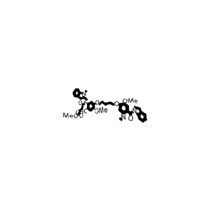 C=Nc1cc(OCCCCCOc2cc(N(CC3Cc4ccccc4N3C)C(=O)CCC(=O)OC)c(C=O)cc2OC)c(OC)cc1C(=O)N1CCc2ccccc21